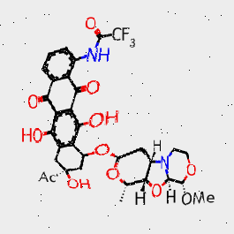 CO[C@H]1OCCN2[C@@H]1O[C@@H]1[C@H](C)O[C@@H](OC3C[C@](O)(C(C)=O)Cc4c(O)c5c(c(O)c43)C(=O)c3c(NC(=O)C(F)(F)F)cccc3C5=O)C[C@@H]12